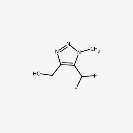 Cn1nnc(CO)c1C(F)F